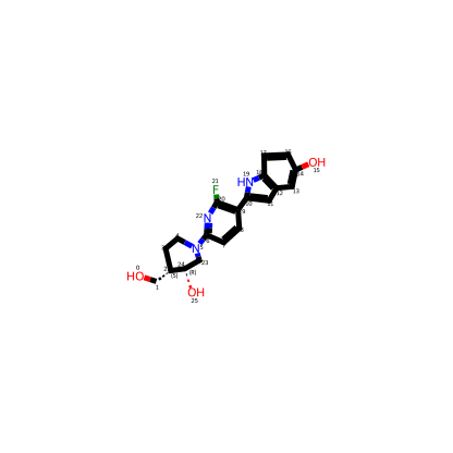 OC[C@@H]1CCN(c2ccc(-c3cc4cc(O)ccc4[nH]3)c(F)n2)C[C@@H]1O